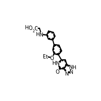 CCOc1cc(-c2cccc(NCC(=O)O)c2)ccc1-c1cc2[nH]nnc2c(=O)[nH]1